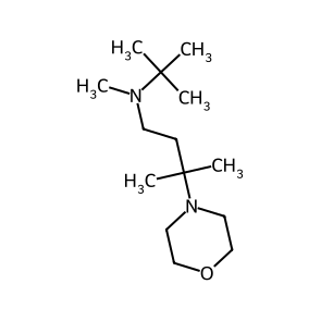 CN(CCC(C)(C)N1CCOCC1)C(C)(C)C